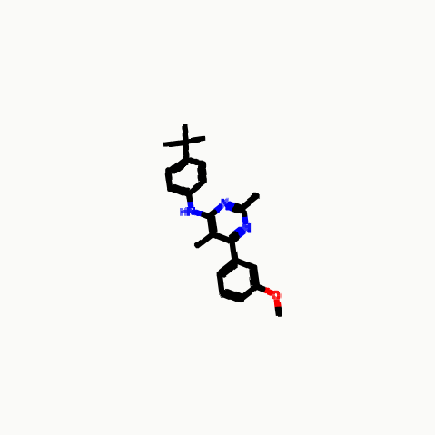 COc1cccc(-c2nc(C)nc(Nc3ccc(C(C)(C)C)cc3)c2C)c1